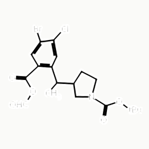 CC(c1cc(Cl)c(Br)cc1C(=O)OC=O)C1CCN(C(=O)OC(C)(C)C)C1